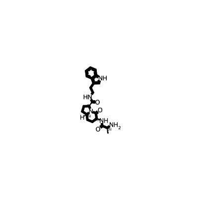 C[C@H](N)C(=O)N[C@H]1CC[C@H]2CC[C@@H](C(=O)NCCc3c[nH]c4ccccc34)N2C1=O